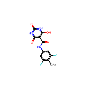 CC(=O)Oc1c(F)cc(NC(=O)c2c(O)[nH]c(=O)[nH]c2=O)cc1F